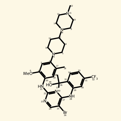 COc1cc(N2CCC(N3CCN(C)CC3)CC2)c(C)cc1Nc1ncc(Br)c(Nc2cc(C(F)(F)F)ccc2C(C)(C)O)n1